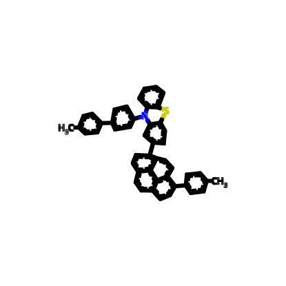 Cc1ccc(-c2ccc(N3c4ccccc4Sc4ccc(-c5ccc6ccc7ccc(-c8ccc(C)cc8)c8ccc5c6c78)cc43)cc2)cc1